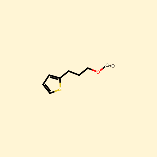 O=COCCCc1cccs1